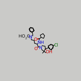 CC1(C)CN(C(=O)C(CCCN(Cc2ccccc2)C(=O)O)NC(=O)C2CCCC2)CCC1(O)c1ccc(Cl)cc1